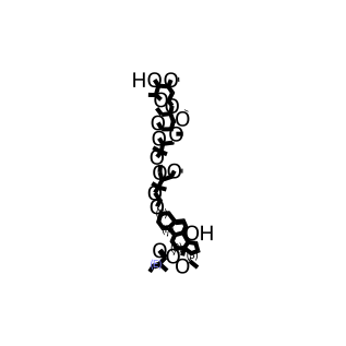 C/C=C(\C)C(=O)O[C@@H]1CC2C(CC=C3C[C@@H](OCOC(C)(C)C(COC)OCOC(C)(C)C(COC)OC4CC(OC)C(OC5CC(OC)C(O)C(C)O5)C(C)O4)CC[C@@]32C)C2(O)CC[C@H](C(C)=O)C12C